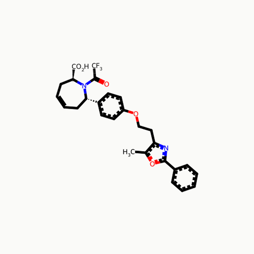 Cc1oc(-c2ccccc2)nc1CCOc1ccc([C@@H]2CC=CC[C@@H](C(=O)O)N2C(=O)C(F)(F)F)cc1